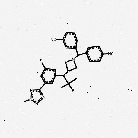 [C-]#[N+]c1ccc(C(c2cccc(C#N)c2)N2CC(C(c3cc(F)cc(-c4nnn(C)n4)c3)C(C)(C)F)C2)cc1